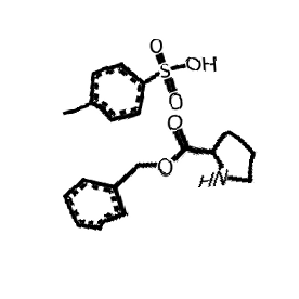 Cc1ccc(S(=O)(=O)O)cc1.O=C(OCc1ccccc1)C1CCCN1